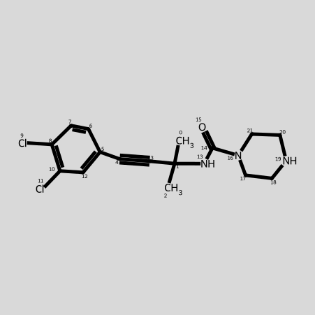 CC(C)(C#Cc1ccc(Cl)c(Cl)c1)NC(=O)N1CCNCC1